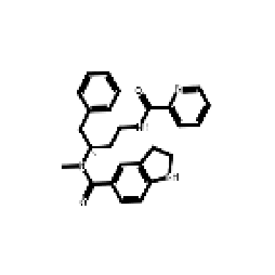 CN(C(=O)c1ccc2c(c1)CCN2)[C@H](CCNC(=O)c1ccccn1)Cc1ccccc1